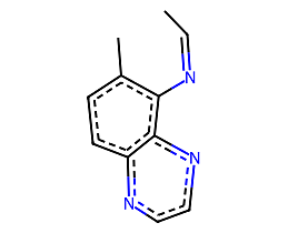 C/C=N\c1c(C)ccc2nccnc12